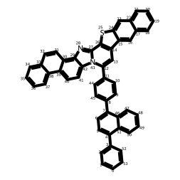 c1ccc(-c2ccc(-c3ccc(-c4cc5c6cc7ccccc7cc6sc5c5nc6c7ccc8ccccc8c7ccc6n45)cc3)c3ccccc23)cc1